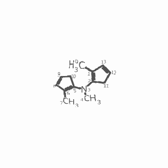 CC1=C(N(C)C2=C(C)C=CC2)CC=C1